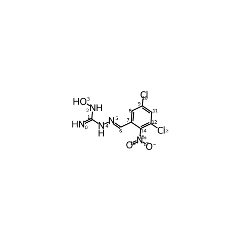 N=C(NO)NN=Cc1cc(Cl)cc(Cl)c1[N+](=O)[O-]